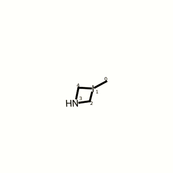 CI1CNC1